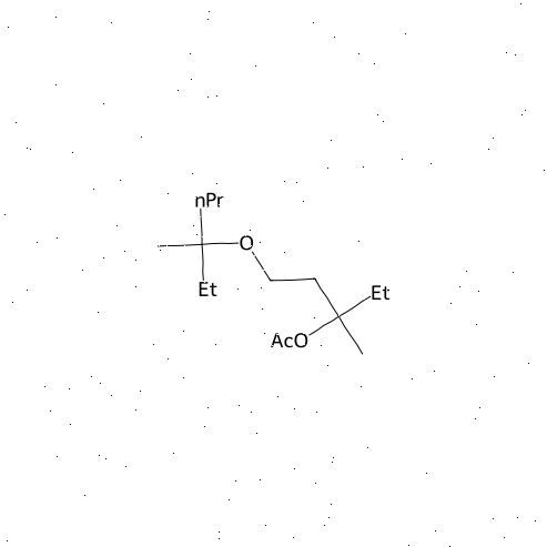 CCCC(C)(CC)OCCC(C)(CC)OC(C)=O